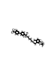 CC(=O)c1ccc(-c2ccc(C(=O)NCCCCN3CCc4cc(OC(F)(F)F)ccc4C3)cc2)cc1